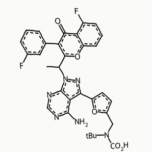 CC(c1oc2cccc(F)c2c(=O)c1-c1cccc(F)c1)n1nc(-c2ccc(CN(C(=O)O)C(C)(C)C)o2)c2c(N)ncnc21